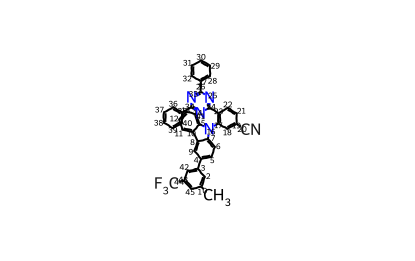 Cc1cc(-c2ccc3c(c2)c2ccccc2n3-c2cc(C#N)ccc2-c2nc(-c3ccccc3)nc(-c3ccccc3)n2)cc(C(F)(F)F)c1